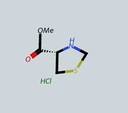 COC(=O)[C@H]1CSCN1.Cl